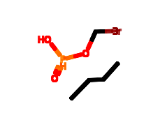 CCCC.O=[PH](O)OCBr